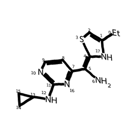 CCC1=CS/C(=C(/N)c2ccnc(NC3CC3)n2)N1